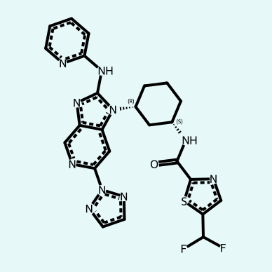 O=C(N[C@H]1CCC[C@@H](n2c(Nc3ccccn3)nc3cnc(-n4nccn4)cc32)C1)c1ncc(C(F)F)s1